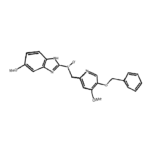 COc1ccc2[nH]c([S+]([O-])Cc3cc(OC)c(OCc4ccccc4)cn3)nc2c1